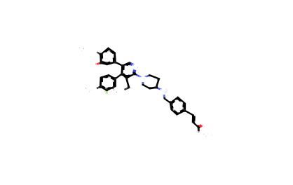 COC(=O)/C=C/c1ccc(CNC2CCN(c3ncc(-c4ccc(OC)c(O)c4)c(-c4ccc(C#N)c(F)c4)c3CC#N)CC2)cc1